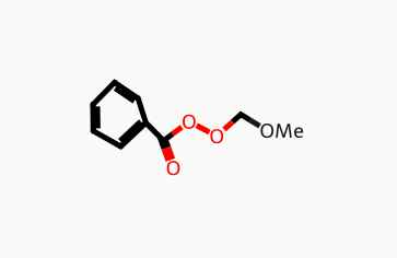 COCOOC(=O)c1ccccc1